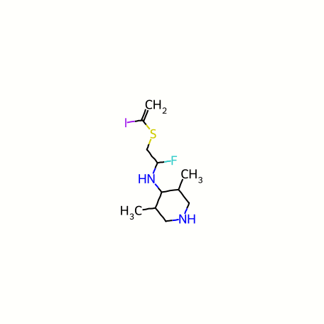 C=C(I)SCC(F)NC1C(C)CNCC1C